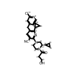 N#Cc1cc(Cc2ccnc(Cl)c2)c(C2CC2)nc1N1CCN(C(=O)CCO)[C@H](C2CC2)C1